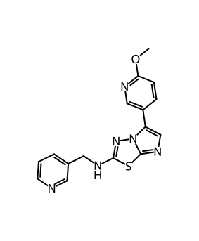 COc1ccc(-c2cnc3sc(NCc4cccnc4)nn23)cn1